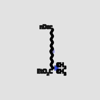 CCCCCCCCCCCCCCCC/C=C/CCCCC(C(=O)OCC)N(C)C